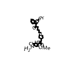 COc1cc(N)c(Cl)cc1C(=O)NCC1CCN(CCCCCC(=O)c2cn(C(C)C)c3ccccc23)CC1